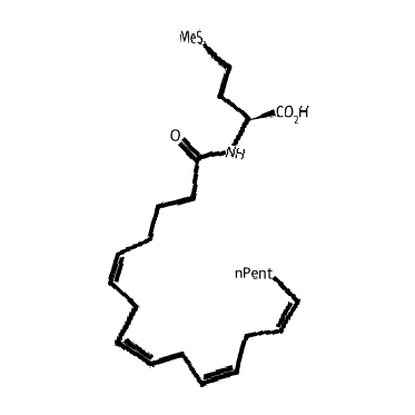 CCCCC/C=C\C/C=C\C/C=C\C/C=C\CCCC(=O)N[C@@H](CCSC)C(=O)O